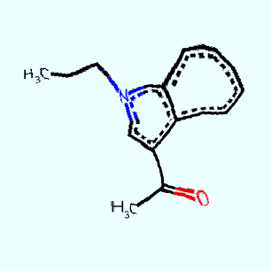 CCn1cc(C(C)=O)c2[c]cccc21